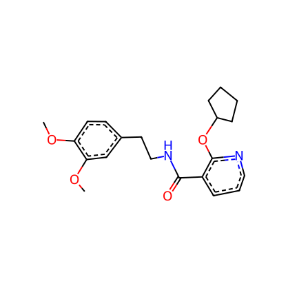 COc1ccc(CCNC(=O)c2cccnc2OC2CCCC2)cc1OC